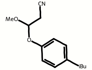 CCC(C)c1ccc(OC(CC#N)OC)cc1